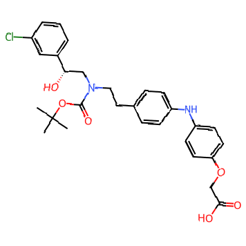 CC(C)(C)OC(=O)N(CCc1ccc(Nc2ccc(OCC(=O)O)cc2)cc1)C[C@H](O)c1cccc(Cl)c1